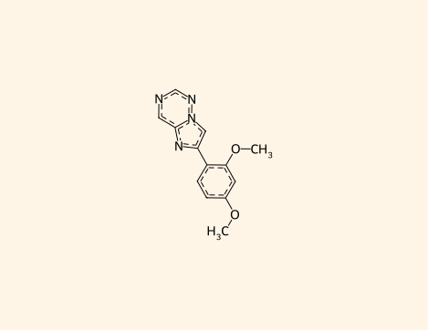 COc1ccc(-c2cn3ncncc3n2)c(OC)c1